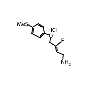 CSc1ccc(OC/C(F)=C/CN)cc1.Cl